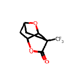 O=C1OC2CC3CC1(C(F)(F)F)C2O3